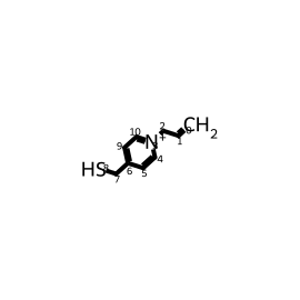 C=CC[n+]1ccc(CS)cc1